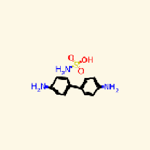 NS(=O)(=O)O.Nc1ccc(-c2ccc(N)cc2)cc1